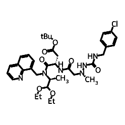 CCOC(OCC)[C@H](C)N(Cc1cccc2cccnc12)C(=O)[C@H](CC(=O)OC(C)(C)C)NC(=O)CN(C)NC(=O)NCc1ccc(Cl)cc1